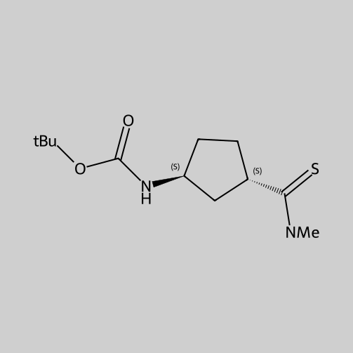 CNC(=S)[C@H]1CC[C@H](NC(=O)OC(C)(C)C)C1